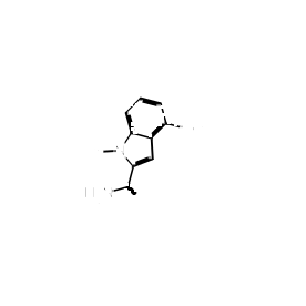 CC(C)n1c(C(N)=O)cc2c(C(=O)O)cccc21